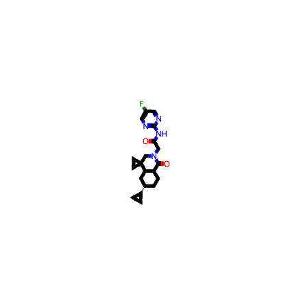 O=C(CN1CC2(CC2)C2C[C@@H](C3CC3)CCC2C1=O)Nc1ncc(F)cn1